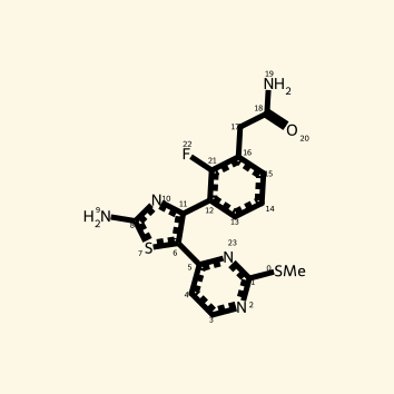 CSc1nccc(-c2sc(N)nc2-c2cccc(CC(N)=O)c2F)n1